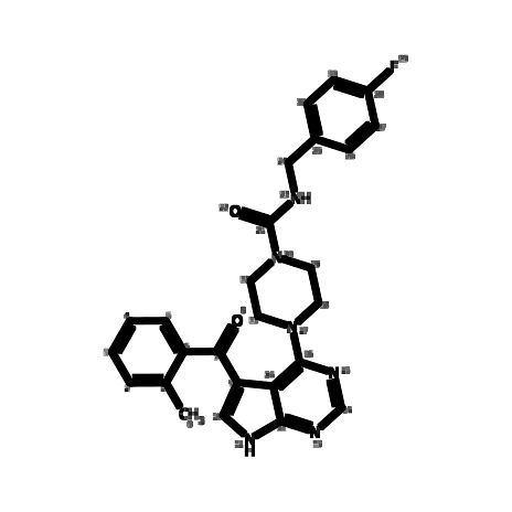 Cc1ccccc1C(=O)c1c[nH]c2ncnc(N3CCN(C(=O)NCc4ccc(F)cc4)CC3)c12